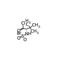 CC(C)(C)[C@H](NS(=O)(=O)Br)C(=O)Cl